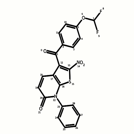 O=C(c1ccc(OC(F)F)cc1)c1c([N+](=O)[O-])sc2c1ccc(=O)n2-c1ccccc1